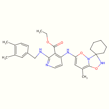 CCOC(=O)c1c(NC2=CC(C)=C3ONC4(CCCCC4)N3O2)ccnc1NCc1ccc(C)c(C)c1